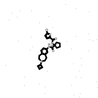 O=C(NC1(C(=O)Nc2ccc3c(c2)CCN(C2=CC=C2)CC3)CCCC1)c1ccc(Cl)s1